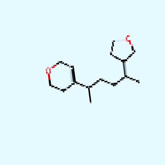 CC(CCC(C)C1CCOC1)C1=CCOCC1